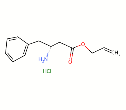 C=CCOC(=O)C[C@H](N)Cc1ccccc1.Cl